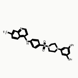 CCCc1cc(CCC)cc(N2CCN(S(=O)(=O)c3ccc(Nc4ccnc5cc(C(F)(F)F)ccc45)cc3)CC2)c1